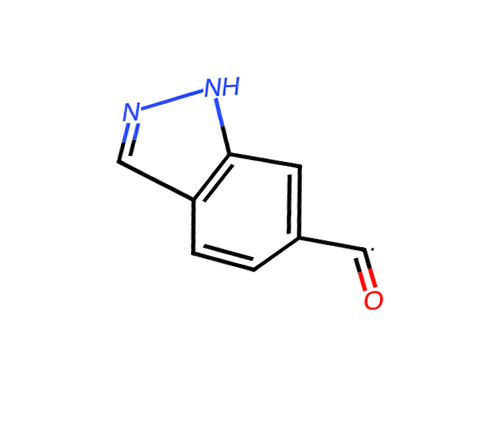 O=[C]c1ccc2cn[nH]c2c1